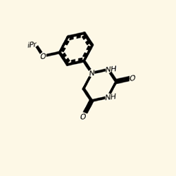 CC(C)Oc1cccc(N2CC(=O)NC(=O)N2)c1